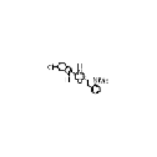 CNc1ccccc1CC[C@@H]1CN[C@H](c2cc3ccc(Cl)cc3[nH]2)CO1